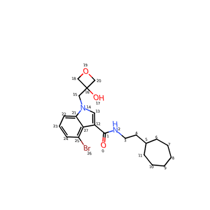 O=C(NCCC1CCCCCC1)c1cn(CC2(O)COC2)c2cccc(Br)c12